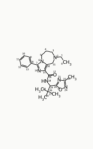 CCN1CCCn2c(-c3ccccc3)nc(C(=O)NC(c3nc(C)no3)C(C)(C)C)c2C1